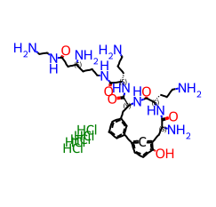 Cl.Cl.Cl.Cl.Cl.NCCC[C@H](NC(=O)[C@@H]1Cc2cccc(c2)-c2ccc(O)c(c2)C[C@H](N)C(=O)N[C@@H](CCCN)C(=O)N1)C(=O)NCCC[C@H](N)CC(=O)NCCN